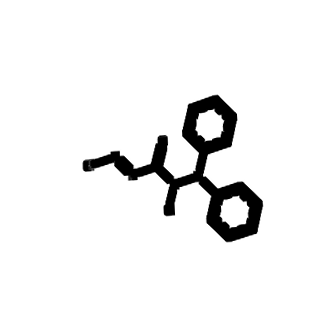 O=C(N=NCl)N(Cl)N(c1ccccc1)c1ccccc1